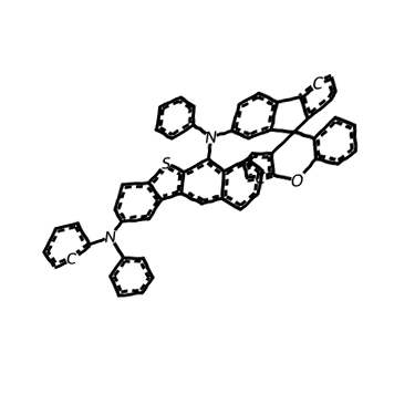 c1ccc(N(c2ccccc2)c2ccc3sc4c(N(c5ccccc5)c5ccc6c(c5)C5(c7ccccc7Oc7ccccc75)c5ccccc5-6)c5ccccc5cc4c3c2)cc1